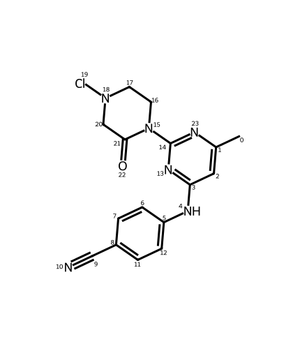 Cc1cc(Nc2ccc(C#N)cc2)nc(N2CCN(Cl)CC2=O)n1